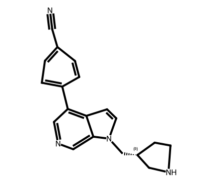 N#Cc1ccc(-c2cncc3c2ccn3C[C@@H]2CCNC2)cc1